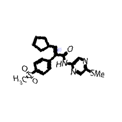 CSc1cnc(NC(=O)/C(=C/C2CCCC2)c2ccc(S(C)(=O)=O)cc2)cn1